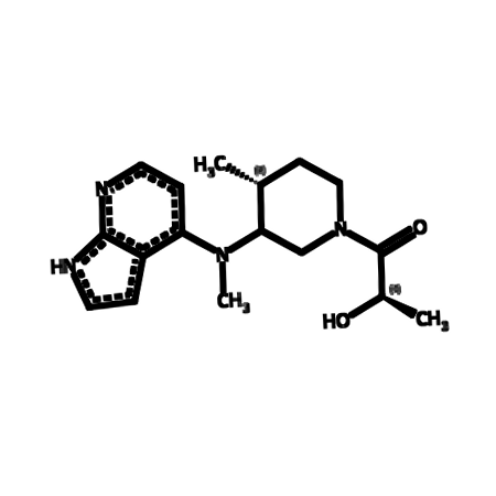 C[C@@H]1CCN(C(=O)[C@@H](C)O)CC1N(C)c1ccnc2[nH]ccc12